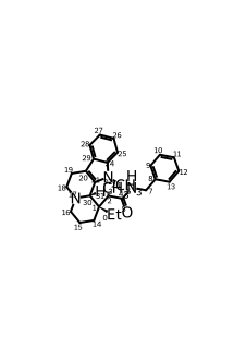 CC[C@@]1(C(C)C(=O)NCc2ccccc2)CCCN2CCc3c(n(C)c4ccccc34)[C@@H]21